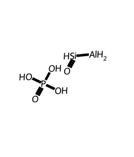 O=P(O)(O)O.O=[SiH][AlH2]